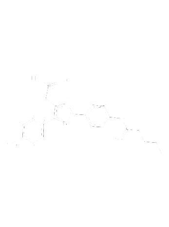 CCCCC(=O)Oc1ccc(-c2nc(-c3ccc(Cl)cc3)c(CC(=O)O)s2)cc1